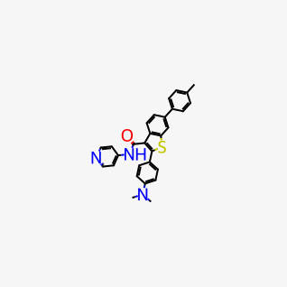 Cc1ccc(-c2ccc3c(C(=O)Nc4ccncc4)c(-c4ccc(N(C)C)cc4)sc3c2)cc1